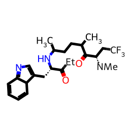 CCC(=O)[C@H](CC1=CN=C2C=CC=CC12)NC(C)CCC(C)C(=O)[C@H](CC(F)(F)F)NC